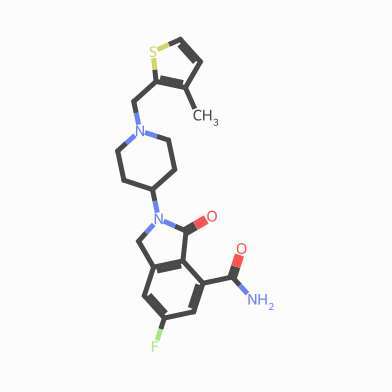 Cc1ccsc1CN1CCC(N2Cc3cc(F)cc(C(N)=O)c3C2=O)CC1